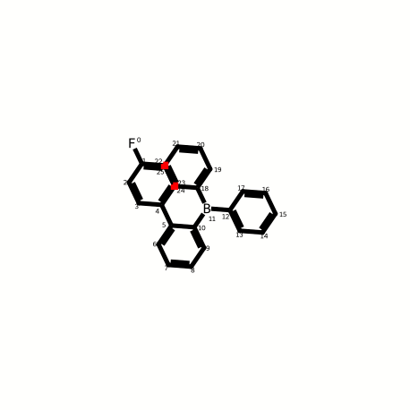 Fc1ccc(-c2ccccc2B(c2ccccc2)c2ccccc2)cc1